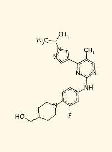 Cc1cnc(Nc2ccc(N3CCC(CO)CC3)c(F)c2)nc1-c1cnn(C(C)C)c1